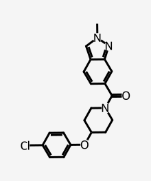 Cn1cc2ccc(C(=O)N3CCC(Oc4ccc(Cl)cc4)CC3)cc2n1